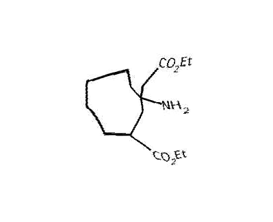 CCOC(=O)C1CCCCC1(N)C(=O)OCC